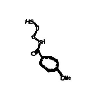 COc1ccc(C(=O)NOOS)cc1